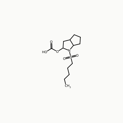 CCCCCS(=O)(=O)N1C(OC(=O)O)CC2CCCC21